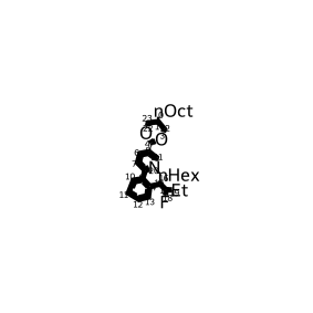 CCCCCCCC[C@H]1CO[C@H](c2ccc(-c3ccccc3C(CCCCCC)C(F)CC)nc2)OC1